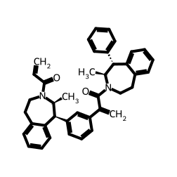 C=CC(=O)N1CCc2ccccc2[C@H](c2cccc(C(=C)C(=O)N3CCc4ccccc4[C@@H](c4ccccc4)[C@@H]3C)c2)[C@@H]1C